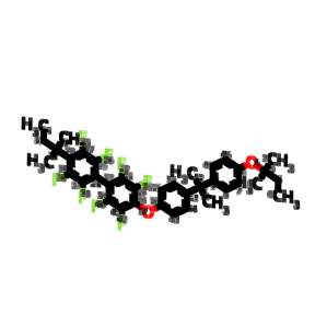 CCC(C)(C)Oc1ccc(C(C)(C)c2ccc(Oc3c(F)c(F)c(-c4c(F)c(F)c(C(C)(C)CC)c(F)c4F)c(F)c3F)cc2)cc1